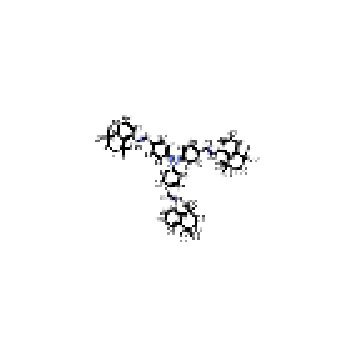 CC1(C)CCC(C)(C)c2c(/C=C/c3ccc(N(c4ccc(/C=C/c5cccc6c5C(C)(C)CCC6(C)C)cc4)c4ccc(/C=C/c5cccc6c5C(C)(C)CCC6(C)C)cc4)cc3)cccc21